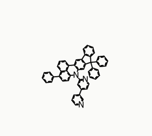 c1ccc(-c2ccc3c4c(cccc24)-c2cc4c(cc2N3c2cc(-c3cccnc3)ccn2)C(c2ccccc2)(c2ccccc2)c2ccccc2-4)cc1